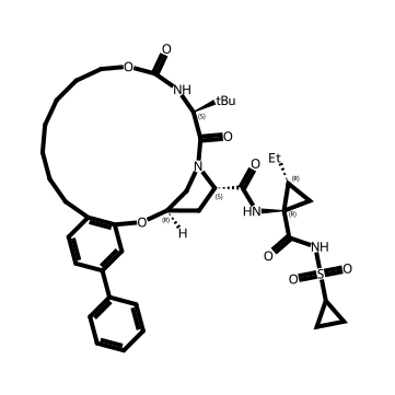 CC[C@@H]1C[C@]1(NC(=O)[C@@H]1C[C@@H]2CN1C(=O)[C@H](C(C)(C)C)NC(=O)OCCCCCCCc1ccc(-c3ccccc3)cc1O2)C(=O)NS(=O)(=O)C1CC1